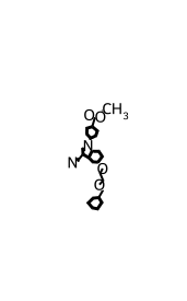 CCOC(=O)c1ccc(-n2cc(C#N)c3cc(OCCOCc4ccccc4)ccc32)cc1